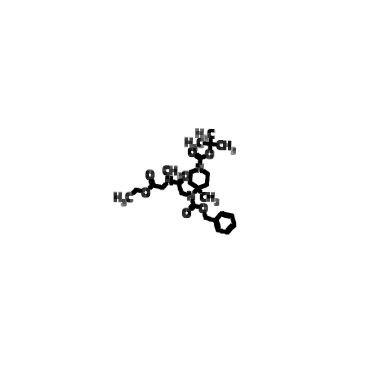 CCOC(=O)CN(C)C(=O)CN(C(=O)OCc1ccccc1)C1(C)CCN(C(=O)OC(C)(C)C)CC1